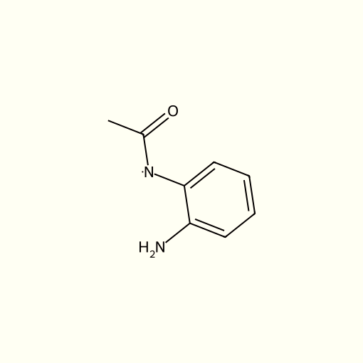 CC(=O)[N]c1ccccc1N